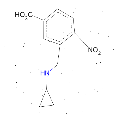 O=C(O)c1ccc([N+](=O)[O-])c(CNC2CC2)c1